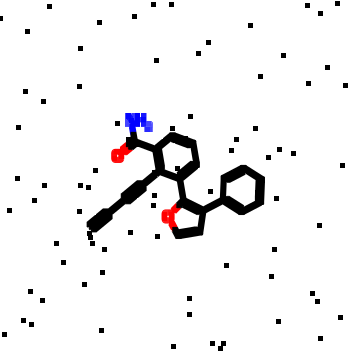 C#CC#Cc1c(C(N)=O)cccc1-c1occc1-c1ccccc1